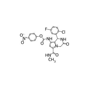 CNC(=O)c1cc(NC(=O)Oc2ccc([N+](=O)[O-])cc2)c2n1CC(=O)NC2c1cc(F)ccc1Cl